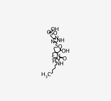 CCCCCNC1C(=O)N2C(C(=O)O)=C(CSc3nc(CS(=O)(=O)O)n[nH]3)CS[C@@H]12